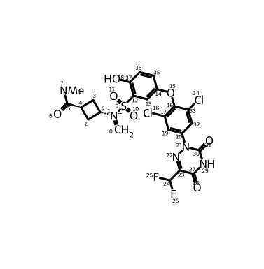 C=[N+]([C@H]1C[C@H](C(=O)NC)C1)S(=O)(=O)c1cc(Oc2c(Cl)cc(-n3nc(C(F)F)c(=O)[nH]c3=O)cc2Cl)ccc1O